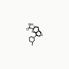 CC1CCCN(c2cncc3ccc(C(N)=O)nc23)C1